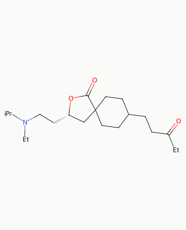 CCC(=O)CCC1CCC2(CC1)C[C@H](CCN(CC)C(C)C)OC2=O